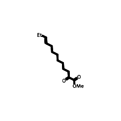 CC/C=C/CCCCCCCC(=O)C(=O)OC